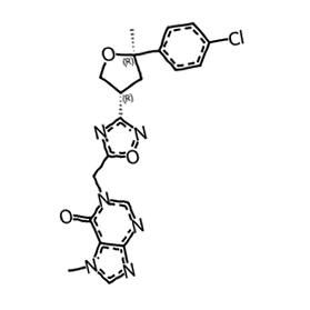 Cn1cnc2ncn(Cc3nc([C@@H]4CO[C@@](C)(c5ccc(Cl)cc5)C4)no3)c(=O)c21